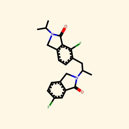 CC(C)N1Cc2ccc(CC(C)N3Cc4ccc(F)cc4C3=O)c(F)c2C1=O